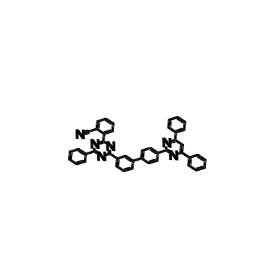 N#Cc1ccccc1-c1nc(-c2ccccc2)nc(-c2cccc(-c3ccc(-c4nc(-c5ccccc5)cc(-c5ccccc5)n4)cc3)c2)n1